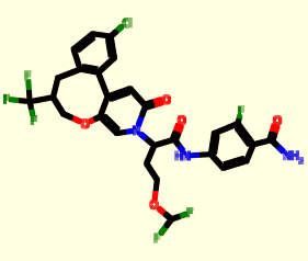 NC(=O)c1ccc(NC(=O)C(CCOC(F)F)n2cc3c(cc2=O)-c2cc(Cl)ccc2CC(C(F)(F)F)CO3)cc1F